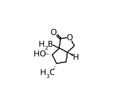 BC12C(=O)OC[C@@H]1C[C@H](C)[C@@H]2O